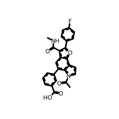 CNC(=O)c1c(-c2ccc(F)cc2)oc2c1cc(-c1cccc(C(=O)O)c1)c1c2ccn1C(C)=O